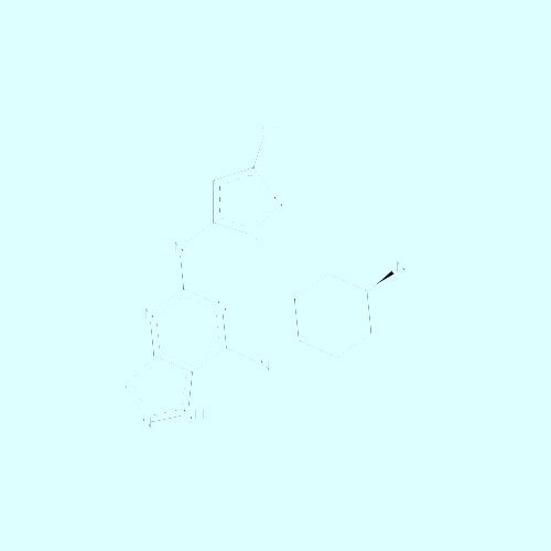 Cc1cc(Nc2nc(N[C@H]3CC[C@H](N)CC3)c3[nH]ncc3n2)sn1